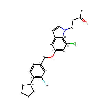 CC(=O)CCn1ccc2cc(OCc3ccc(C4CCCC4)c(F)c3)cc(Cl)c21